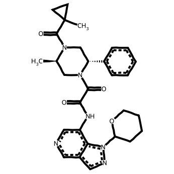 C[C@@H]1CN(C(=O)C(=O)Nc2cncc3cnn(C4CCCCO4)c23)[C@@H](c2ccccc2)CN1C(=O)C1(C)CC1